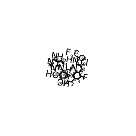 CC(Cc1cc(F)c2cc(Cl)c(NC(=O)C(F)(F)F)nc2c1)[C@@]12C[C@@H]1[C@@H](n1ccc3c(N)ncnc31)[C@H](O)[C@@H]2O